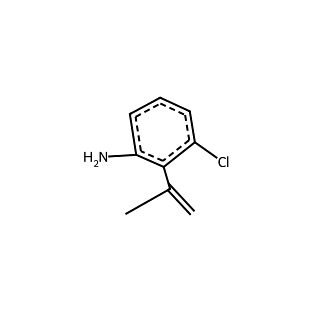 C=C(C)c1c(N)cccc1Cl